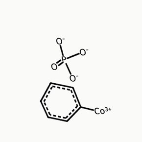 O=P([O-])([O-])[O-].[Co+3][c]1ccccc1